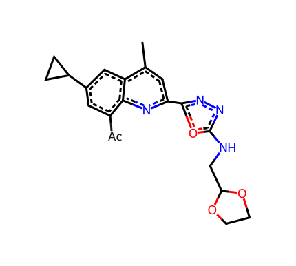 CC(=O)c1cc(C2CC2)cc2c(C)cc(-c3nnc(NCC4OCCO4)o3)nc12